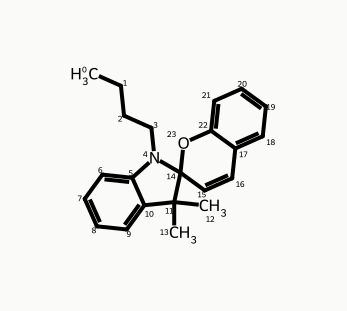 CCCCN1c2ccccc2C(C)(C)C12C=Cc1ccccc1O2